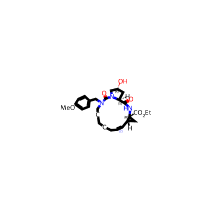 CCOC(=O)[C@@]12C[C@@H]1/C=C\CCCCCN(Cc1ccc(OC)cc1)C(=O)N1C[C@H](O)C[C@H]1C(=O)N2